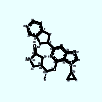 C[C@@H](Oc1nc(C2Cc3ccncc3S2)cc2ncn(C3CC3)c12)[C@H]1CNC(=O)C1